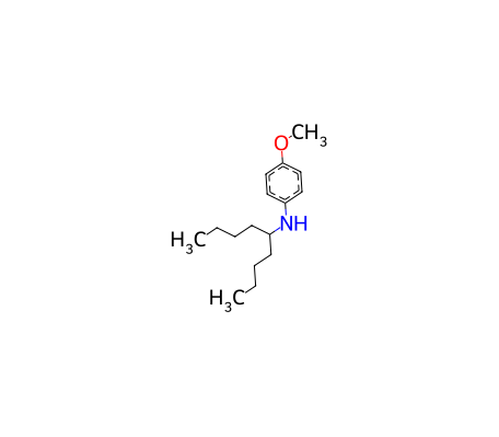 CCCCC(CCCC)Nc1ccc(OC)cc1